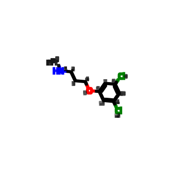 CCCNCCCOc1cc(Cl)cc(Cl)c1